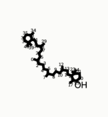 CC(CCCCC(C)CCCC(C)CCC1C(C)C(O)CCC1(C)C)CCCC(C)CCC1C(C)CCCC1(C)C